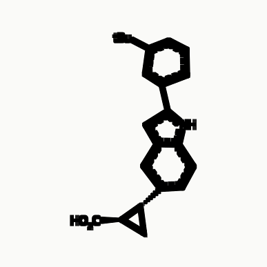 CC(C)(C)c1cccc(-c2cc3cc([C@@H]4C[C@H]4C(=O)O)ccc3[nH]2)c1